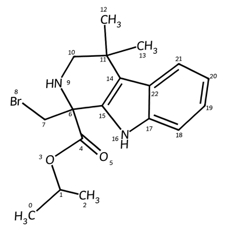 CC(C)OC(=O)C1(CBr)NCC(C)(C)c2c1[nH]c1ccccc21